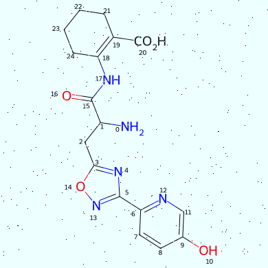 NC(Cc1nc(-c2ccc(O)cn2)no1)C(=O)NC1=C(C(=O)O)CCCC1